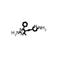 Cc1nc(N)nc(-c2ccccc2)c1C#Cc1ccc(N)nc1